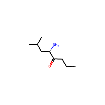 [CH2]CCC(=O)[C@@H](N)CC(C)C